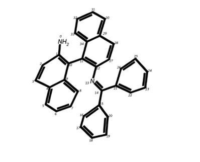 Nc1ccc2ccccc2c1-c1c(N=C(c2ccccc2)c2ccccc2)ccc2ccccc12